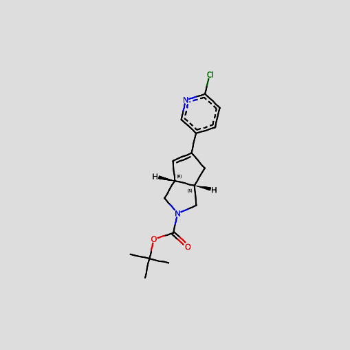 CC(C)(C)OC(=O)N1C[C@H]2CC(c3ccc(Cl)nc3)=C[C@H]2C1